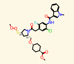 COOS[C@H]1C[C@@H](CO[C@H]2CC[C@H](C(=O)OC)CC2)N(C(=O)Cc2cc(Cl)c(NC(=O)c3cn(C)c4ccccc34)cc2F)C1